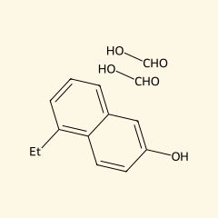 CCc1cccc2cc(O)ccc12.O=CO.O=CO